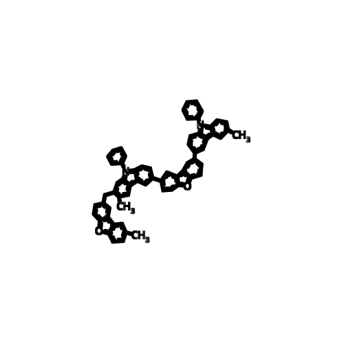 Cc1ccc2oc3ccc(Cc4cc5c(cc4C)c4cc(-c6ccc7oc8ccc(-c9ccc%10c(c9)c9cc(C)ccc9n%10-c9ccccc9)cc8c7c6)ccc4n5-c4ccccc4)cc3c2c1